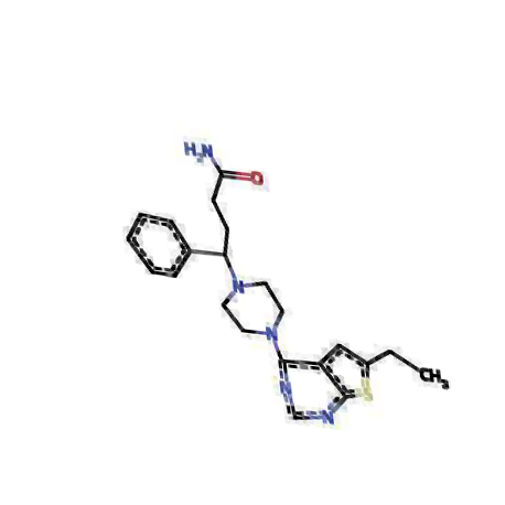 CCc1cc2c(N3CCN(C(CCC(N)=O)c4ccccc4)CC3)ncnc2s1